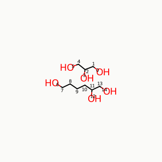 OCC(O)CO.OCCCCC(O)CO